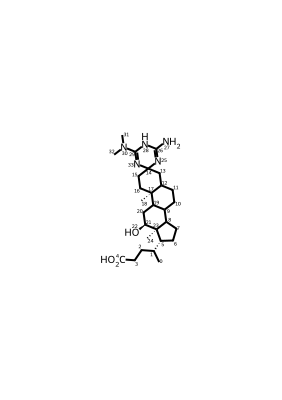 CC(CCC(=O)O)[C@H]1CCC2C3CCC4CC5(CC[C@]4(C)C3C[C@H](O)[C@@]21C)N=C(N)NC(N(C)C)=N5